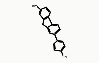 CCCc1ccc2c(c1)Cc1cc(-c3ccc(C#N)cc3)ccc1-2